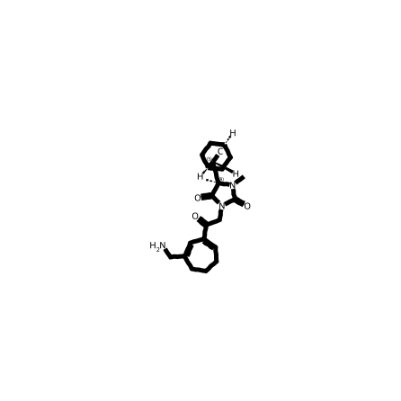 CN1C(=O)N(CC(=O)C2=CCCCC(CN)=C2)C(=O)[C@@]1(C)[C@H]1C[C@H]2CC[C@@H]1CC2